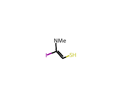 CN/C(I)=C\S